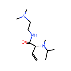 C=C[C@H](C(=O)NCCN(C)C)N(C)C(C)C